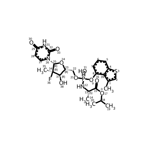 Cc1csc2cccc(O[PH](O)(N[C@@H](C)C(=O)OC(C)C)OC[C@H]3O[C@@H](n4ccc(=O)[nH]c4=O)[C@](C)(F)[C@@H]3O)c12